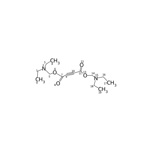 CCN(CC)COC(=O)C#CC(=O)OCN(CC)CC